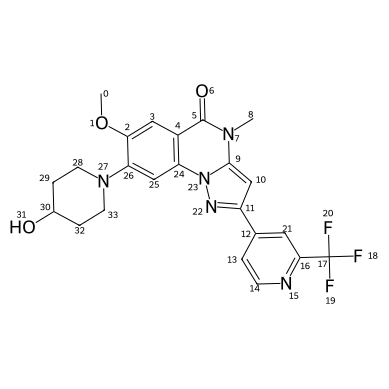 COc1cc2c(=O)n(C)c3cc(-c4ccnc(C(F)(F)F)c4)nn3c2cc1N1CCC(O)CC1